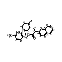 CC1CCN(c2nc(C(F)(F)F)ccc2CNC(=O)C(C)c2ccc3ccncc3c2)CC1